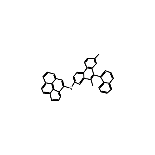 Cc1ccc2c(c1)c(-c1cccc3ccccc13)c(C)c1cc(Sc3cc4cccc5ccc6cccc3c6c54)ccc12